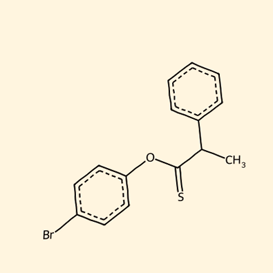 CC(C(=S)Oc1ccc(Br)cc1)c1ccccc1